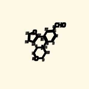 O=Cc1ccc(N2CCOCC2)c(-c2ccco2)c1